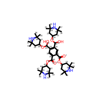 CC1(C)CC(OC(=O)c2cc(C(O)OC3CC(C)(C)NC(C)(C)C3)c(C(O)OC3CC(C)(C)NC(C)(C)C3)cc2C(=O)OC2CC(C)(C)NC(C)(C)C2)CC(C)(C)N1